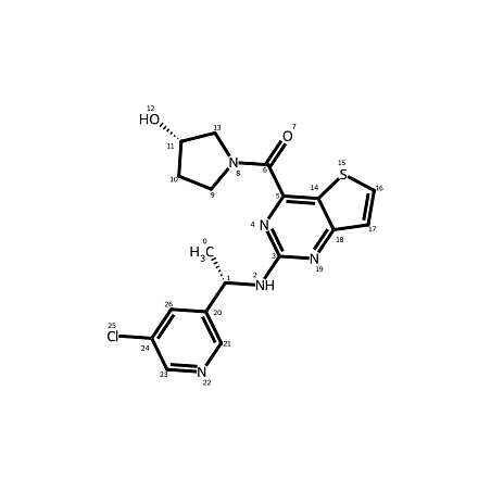 C[C@H](Nc1nc(C(=O)N2CC[C@H](O)C2)c2sccc2n1)c1cncc(Cl)c1